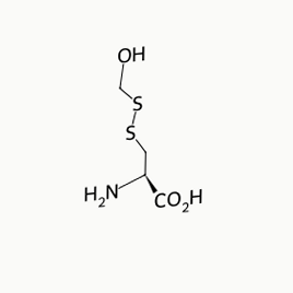 N[C@@H](CSSCO)C(=O)O